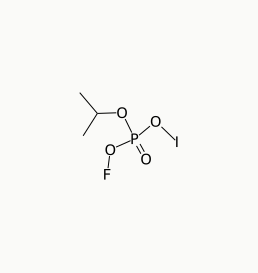 CC(C)OP(=O)(OF)OI